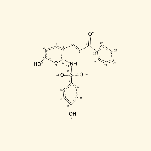 O=C(C=Cc1ccc(O)cc1NS(=O)(=O)c1ccc(O)cc1)c1ccccc1